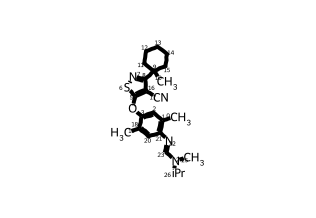 Cc1cc(Oc2snc(C3(C)CCCCC3)c2C#N)c(C)cc1N=CN(C)C(C)C